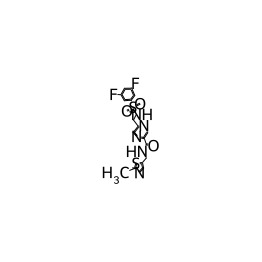 Cc1ncc(CNC(=O)c2cnc(CNS(=O)(=O)c3cc(F)cc(F)c3)cn2)s1